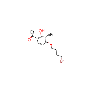 CCCc1c(OCCCCBr)ccc(C(=O)CC)c1O